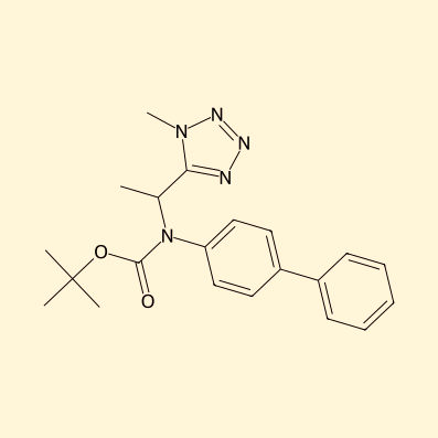 CC(c1nnnn1C)N(C(=O)OC(C)(C)C)c1ccc(-c2ccccc2)cc1